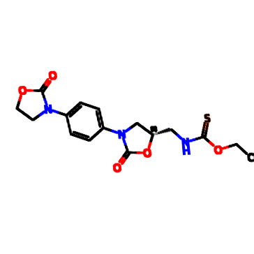 O=C1OCCN1c1ccc(N2C[C@H](CNC(=S)OCC(F)(F)F)OC2=O)cc1